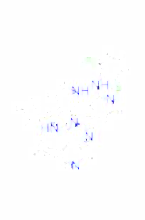 Fc1cccc(F)c1Nc1cc(-c2nc(NC(C3CCC3)C3CCNCC3)c3c(C4CC4)cncc3n2)ccn1